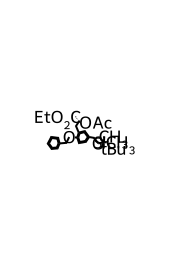 CCOC(=O)[C@@H](Cc1cc(CO[Si](C)(C)C(C)(C)C)ccc1OCc1ccccc1)OC(C)=O